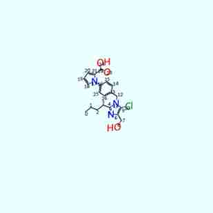 CCCCc1nc(CO)c(Cl)n1Cc1ccc(-n2cccc2C(=O)O)cc1